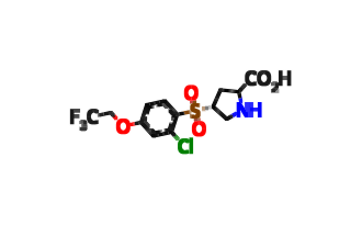 O=C(O)C1C[C@@H](S(=O)(=O)c2ccc(OCC(F)(F)F)cc2Cl)CN1